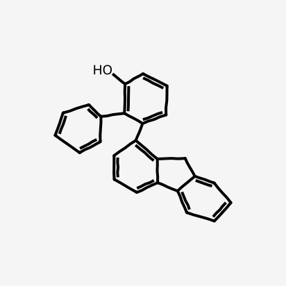 Oc1cccc(-c2cccc3c2Cc2ccccc2-3)c1-c1ccccc1